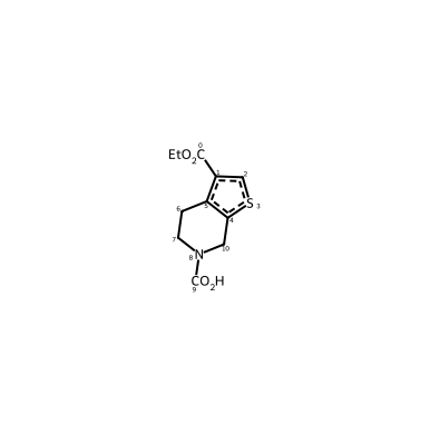 CCOC(=O)c1csc2c1CCN(C(=O)O)C2